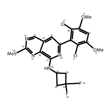 COc1cc(OC)c(Cl)c(-c2cc3cnc(SC)nc3c(NC3CC(F)(F)C3)n2)c1Cl